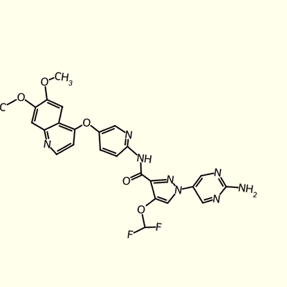 COc1cc2nccc(Oc3ccc(NC(=O)c4nn(-c5cnc(N)nc5)cc4OC(F)F)nc3)c2cc1OC